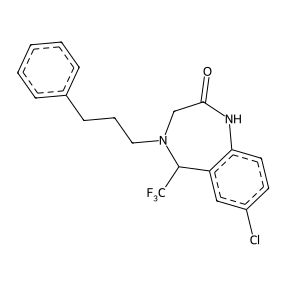 O=C1CN(CCCc2ccccc2)C(C(F)(F)F)c2cc(Cl)ccc2N1